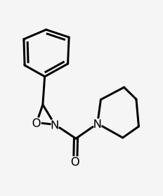 O=C(N1CCCCC1)N1OC1c1ccccc1